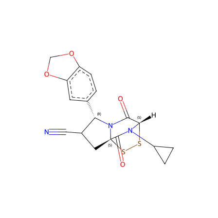 N#CC1C[C@@]23SS[C@@H](C(=O)N2[C@H]1c1ccc2c(c1)OCO2)N(C1CC1)C3=O